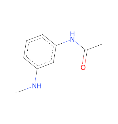 [CH2]Nc1cccc(NC(C)=O)c1